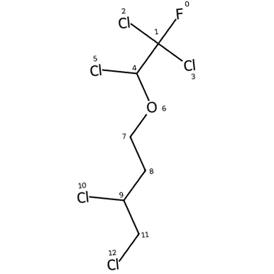 FC(Cl)(Cl)C(Cl)OCCC(Cl)CCl